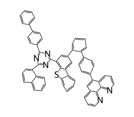 c1ccc(-c2ccc(-c3nc(-c4cccc5ccccc45)nc(-c4cc(-c5ccccc5-c5ccc(-c6cc7cccnc7c7ncccc67)cc5)cc5c4sc4ccccc45)n3)cc2)cc1